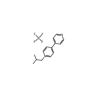 CC(C)C[n+]1ccc(-c2ccncc2)cc1.F[B-](F)(F)F